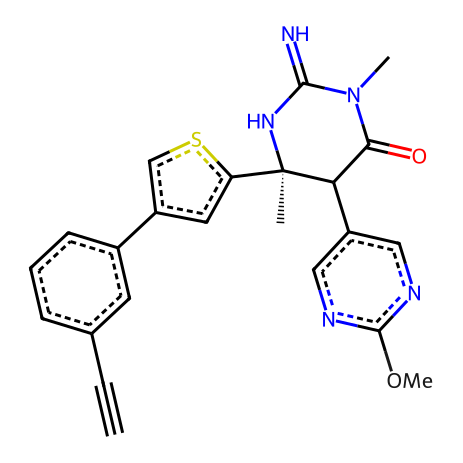 C#Cc1cccc(-c2csc([C@@]3(C)NC(=N)N(C)C(=O)C3c3cnc(OC)nc3)c2)c1